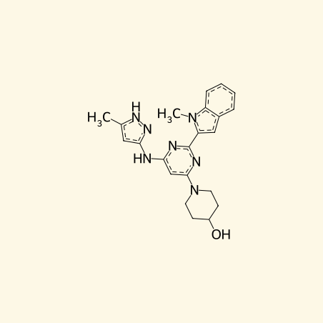 Cc1cc(Nc2cc(N3CCC(O)CC3)nc(-c3cc4ccccc4n3C)n2)n[nH]1